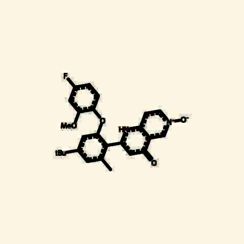 COc1cc(F)ccc1Oc1cc(C(C)(C)C)cc(C)c1-c1cc(=O)c2c[n+]([O-])ccc2[nH]1